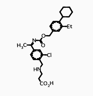 CCc1cc(COC(=O)N=C(C)c2ccc(CNCCC(=O)O)c(Cl)c2)ccc1C1CCCCC1